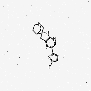 Fc1ccc(-c2cnc3c(c2)C[C@@]2(CN4CCC2CC4)O3)s1